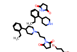 BrCCCBr.CCc1ccccc1C1CCN(CCCN2C(=O)CCC2=O)CC1.CCc1ccccc1C1CCNCC1.O=C1CCC(=O)N1